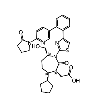 O=C(O)C[C@@H]1C(=O)N(c2nc(-c3ccccc3-c3ccc(N4CCCC4=O)nc3)cs2)[C@H](CO)CC[C@@H]1C1CCCC1